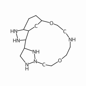 C1COCCN2NCC(N2)C2NNC3CCC(CC32)OCCN1